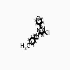 CN1CCC2(CC1)CN(c1cc(Cl)nc(C3=CCOCC3)n1)C2